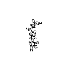 O=C(NC1CC(C(=O)O)C1)O[C@@H]1CCN(c2cn[nH]c(=O)c2Cl)C1